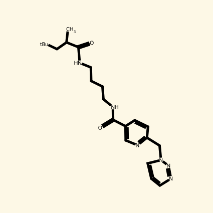 CC(CC(C)(C)C)C(=O)NCCCCNC(=O)c1ccc(CN2C=C=CN=N2)nc1